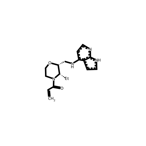 C=CC(=O)N1CCO[C@H](CNc2ccnc3[nH]ccc23)[C@@H]1CC